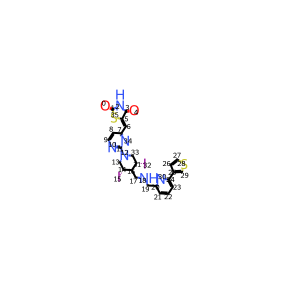 O=C1NC(=O)/C(=C/c2ccnc(N3C[C@@H](I)C(CNCc4cccc(-c5ccsc5)n4)[C@@H](I)C3)n2)S1